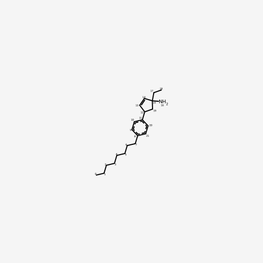 CCCCCCCCc1ccc(C2C=CC(N)(CC)C2)cc1